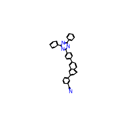 N#Cc1cccc(-c2ccc3ccc(-c4ccc(-c5nc(-c6ccccc6)nc(-c6ccccc6)n5)cc4)cc3c2)c1